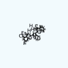 CC[C@@H](NC(=O)c1cc(C(=O)N[C@H](C)c2cnccn2)c2n1CCOC2)c1ccc(F)cc1Cl